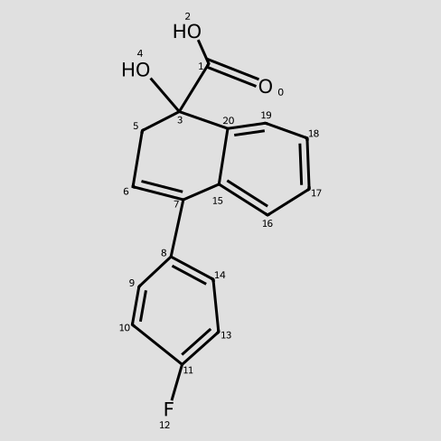 O=C(O)C1(O)CC=C(c2ccc(F)cc2)c2ccccc21